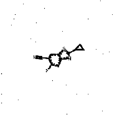 N#Cc1cc2sc(C3CC3)nc2cc1F